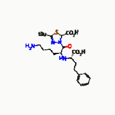 CC(C)(C)C1=NN(C(=O)[C@H](CCCCN)N[C@@H](CCc2ccccc2)C(=O)O)C(C(=O)O)S1